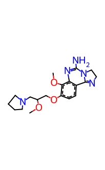 COc1c(OCC(CN2CCCC2)OC)ccc2c1N=C(N)N1CCN=C21